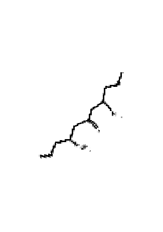 CCCC(N)CC(=S)CC(N)CCC